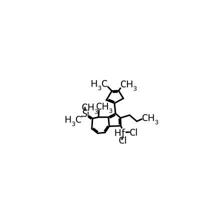 CCCC1=[C]([Hf]([Cl])[Cl])C2=CC=CC(=[Si](C)C)C(C)C2=C1C1=CC(C)=C(C)C1